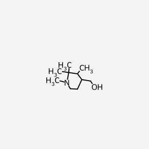 CC1C(CO)CCN(C)C1(C)C